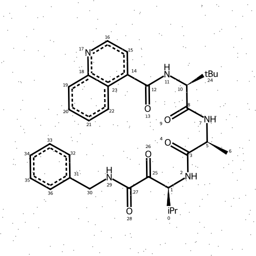 CC(C)[C@H](NC(=O)[C@H](C)NC(=O)[C@@H](NC(=O)c1ccnc2ccccc12)C(C)(C)C)C(=O)C(=O)NCc1ccccc1